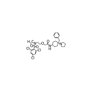 CN(CCOCC(=O)NC1CCC(Cc2ccccc2)(N2CCCC2)CC1)S(=O)(=O)c1c(Cl)cc(Cl)cc1Cl